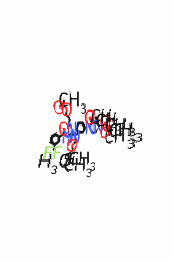 CC(=O)OCCCn1/c(=N\C(=O)c2cccc(C(F)F)c2)n(COCC[Si](C)(C)C)c2cc(N3CCN(C(=O)OC(C)(C)C)C(C)(C)C3=O)ccc21